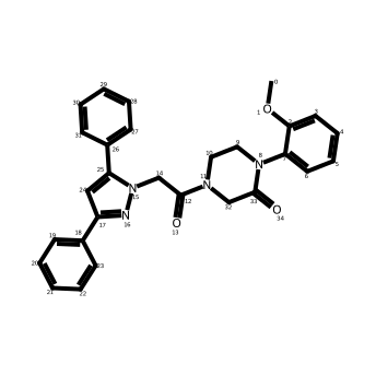 COc1ccccc1N1CCN(C(=O)Cn2nc(-c3ccccc3)cc2-c2ccccc2)CC1=O